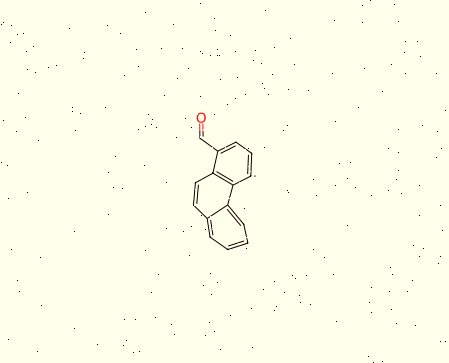 O=Cc1cc[c]c2c1ccc1ccccc12